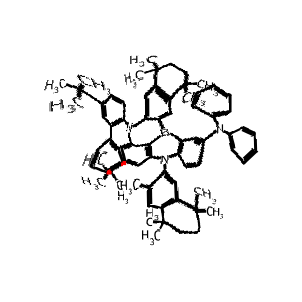 Cc1cc2c(cc1N1c3ccc(N(c4ccccc4)c4ccccc4)cc3B3c4cc5c(cc4N(c4ccc(C(C)(C)C)cc4-c4ccccc4)c4cc(C(C)(C)C)cc1c43)C(C)(C)CCC5(C)C)C(C)(C)CCC2(C)C